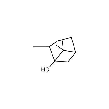 CC1CCC2CC1(O)C2(C)C